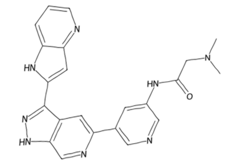 CN(C)CC(=O)Nc1cncc(-c2cc3c(-c4cc5ncccc5[nH]4)n[nH]c3cn2)c1